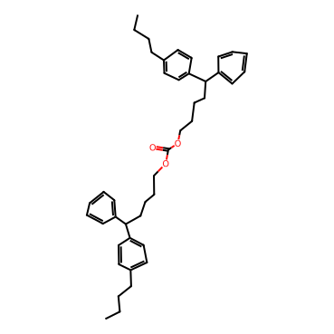 CCCCc1ccc(C(CCCCOC(=O)OCCCCC(c2ccccc2)c2ccc(CCCC)cc2)c2ccccc2)cc1